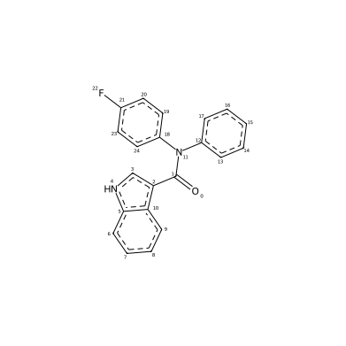 O=C(c1c[nH]c2ccccc12)N(c1ccccc1)c1ccc(F)cc1